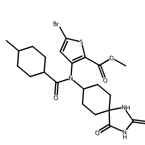 COC(=O)c1sc(Br)cc1N(C(=O)C1CCC(C)CC1)C1CCC2(CC1)NC(=O)NC2=O